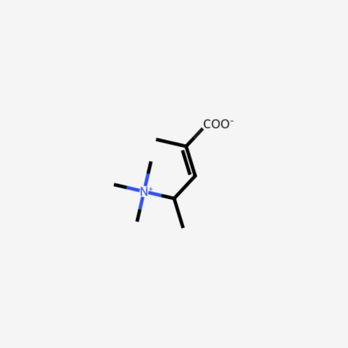 CC(=CC(C)[N+](C)(C)C)C(=O)[O-]